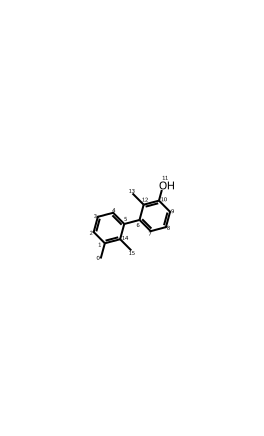 Cc1cccc(-c2cccc(O)c2C)c1C